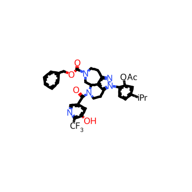 CC(=O)Oc1cc(C(C)C)ccc1-n1nc2c3c1CCN(C(=O)c1cnc(C(F)(F)F)c(O)c1)C3CN(C(=O)OCc1ccccc1)CC2